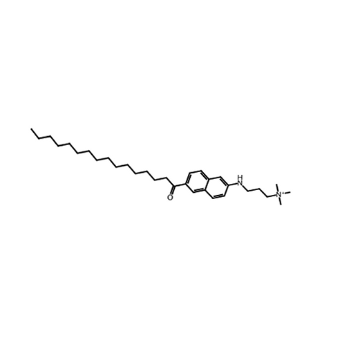 CCCCCCCCCCCCCCCC(=O)c1ccc2cc(NCCC[N+](C)(C)C)ccc2c1